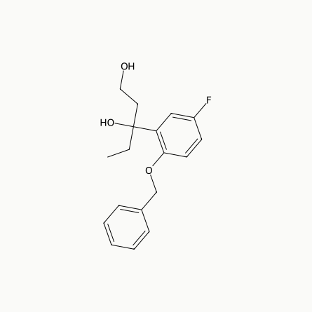 CCC(O)(CCO)c1cc(F)ccc1OCc1ccccc1